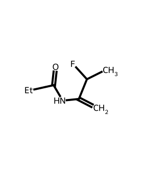 C=C(NC(=O)CC)C(C)F